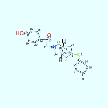 Cc1ccc(S[C@H]2C[C@@H]3CN(CC(=O)c4ccc(O)cc4)C[C@@H]3C2)cc1